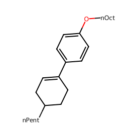 CCCCCCCCOc1ccc(C2=CCC(CCCCC)CC2)cc1